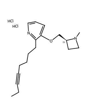 CCC#CCCCCc1ncccc1OC[C@@H]1CCN1C.Cl.Cl